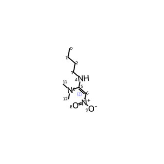 CCCCN/C(=C/[N+](=O)[O-])N(C)C